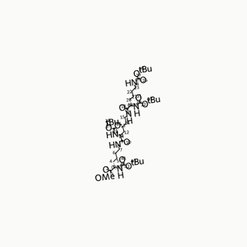 COC(=O)[C@H](CCCCNC(=O)[C@H](CCCCNC(=O)[C@H](CCCCNC(=O)OC(C)(C)C)NC(=O)OC(C)(C)C)NC(=O)OC(C)(C)C)NC(=O)OC(C)(C)C